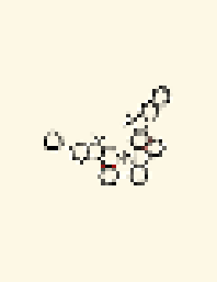 CC1(C)c2cc(-c3ccccc3)ccc2-c2ccc(N(c3ccc4c(c3)C(C)(C)c3cc5ccccc5cc3-4)c3c(-c4ccccc4)cccc3-c3ccccc3)cc21